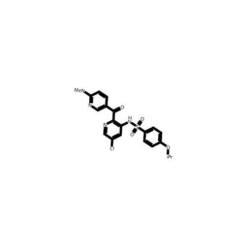 CNc1ccc(C(=O)c2ncc(Cl)cc2NS(=O)(=O)c2ccc(OC(C)C)cc2)cn1